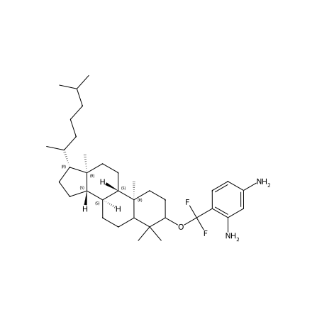 CC(C)CCCC(C)[C@H]1CC[C@H]2[C@@H]3CCC4C(C)(C)C(OC(F)(F)c5ccc(N)cc5N)CC[C@]4(C)[C@H]3CC[C@]12C